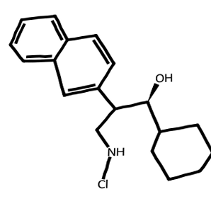 O[C@@H](C1CCCCC1)C(CNCl)c1ccc2ccccc2c1